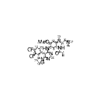 C=CC(=O)Nc1cc(Nc2cc(N3OCC[C@@H]3c3cccc(Cl)c3Cl)ncn2)c(OC)cc1N(C)CCN(C)C